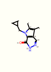 Cc1c(C)n(CC2CC2)c2c(=O)[nH]ncc12